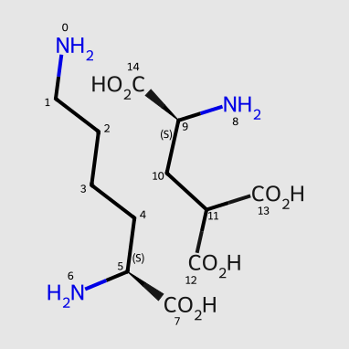 NCCCC[C@H](N)C(=O)O.N[C@@H](CC(C(=O)O)C(=O)O)C(=O)O